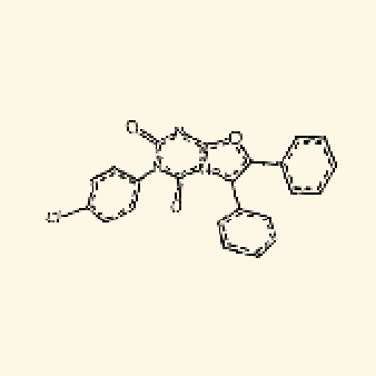 O=c1nc2oc(-c3ccccc3)c(-c3ccccc3)n2c(=O)n1-c1ccc(Cl)cc1